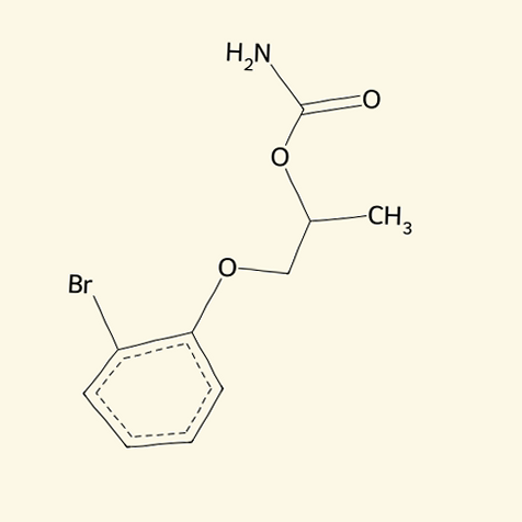 CC(COc1ccccc1Br)OC(N)=O